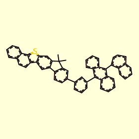 CC1(C)c2cc(-c3cccc(-c4c5ccccc5c(-c5cccc6ccccc56)c5ccccc45)c3)ccc2-c2cc3c(cc21)sc1c2ccccc2ccc31